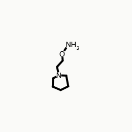 NOCCN1CCCCC1